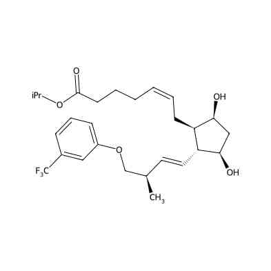 CC(C)OC(=O)CCC/C=C\C[C@@H]1[C@@H](/C=C/[C@@H](C)COc2cccc(C(F)(F)F)c2)[C@H](O)C[C@@H]1O